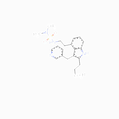 CN(C)S(=O)(=O)NCCc1cccc2[nH]c(CCC(=O)O)c(Cc3cccnc3)c12